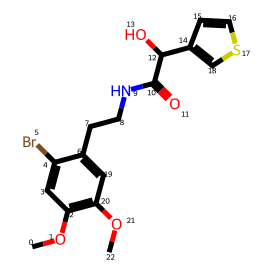 COc1cc(Br)c(CCNC(=O)C(O)c2ccsc2)cc1OC